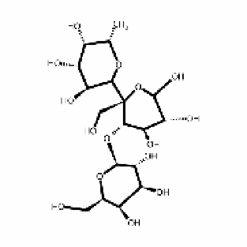 C[C@@H]1OC([C@]2(CO)OC(O)[C@H](O)[C@@H](O)[C@@H]2O[C@@H]2O[C@H](CO)[C@H](O)[C@H](O)[C@H]2O)[C@@H](O)[C@H](O)[C@@H]1O